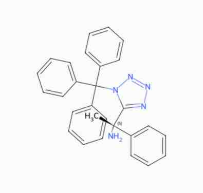 C[C@](N)(c1ccccc1)c1nnnn1C(c1ccccc1)(c1ccccc1)c1ccccc1